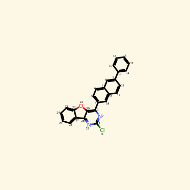 Clc1nc(-c2ccc3cc(-c4ccccc4)ccc3c2)c2oc3ccccc3c2n1